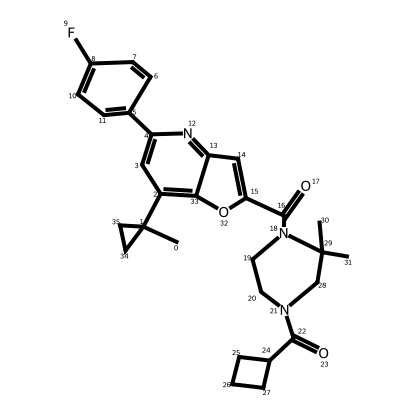 CC1(c2cc(-c3ccc(F)cc3)nc3cc(C(=O)N4CCN(C(=O)C5CCC5)CC4(C)C)oc23)CC1